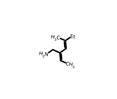 C/C=C(\C=C(/C)CC)CN